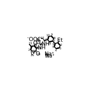 CCc1ccccc1-c1cccc([C@H](CC(=O)[O-])NC(=O)Nc2c([O-])c(C)cn(C)c2=O)c1.[Na+].[Na+]